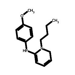 CCCCN1CC=CC=C1Pc1ccc(OC)cc1